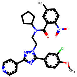 COc1ccc(-c2nc(-c3ccncc3)nn2CCN(C(=O)c2cc(C)ccc2[N+](=O)[O-])C2CCCC2)cc1Cl